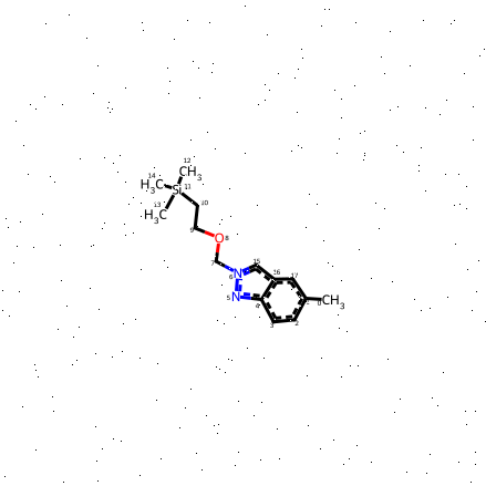 Cc1ccc2nn(COCC[Si](C)(C)C)cc2c1